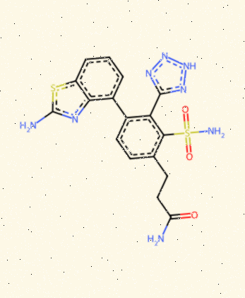 NC(=O)CCc1ccc(-c2cccc3sc(N)nc23)c(-c2nn[nH]n2)c1S(N)(=O)=O